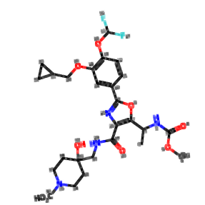 CC(NC(=O)OC(C)(C)C)c1oc(-c2ccc(OC(F)F)c(OCC3CC3)c2)nc1C(=O)NCC1(O)CCN(C(=O)O)CC1